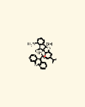 CC(C)c1ccc2c(c1)OC1(O)c3cccc(N)c3C(=O)C21NC(=O)c1c2ccccc2nc2ccccc12